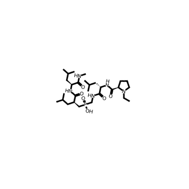 CCN1CCC[C@@H]1C(=O)N[C@@H](CC(C)C)C(=O)NCP(=O)(O)C[C@@H](CC(C)C)C(=O)N[C@@H](CC(C)C)C(=O)NC